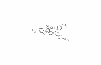 Cc1ccc(OP(=O)(OC[C@@]2(C(F)F)O[C@@H](n3ccc(N)nc3=O)[C@@H](O)[C@@H]2O)Oc2ccc(C)cc2)cc1